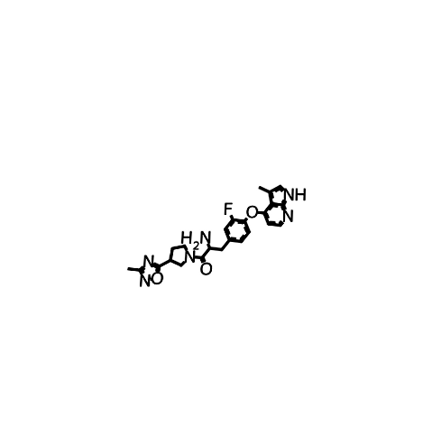 Cc1noc(C2CCN(C(=O)C(N)Cc3ccc(Oc4ccnc5[nH]cc(C)c45)c(F)c3)C2)n1